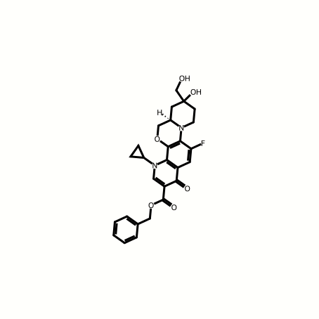 O=C(OCc1ccccc1)c1cn(C2CC2)c2c3c(c(F)cc2c1=O)N1CCC(O)(CO)C[C@@H]1CO3